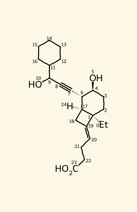 CC[C@@]12CC[C@H](O)[C@@H](C#CC(O)C3CCCCC3)[C@@H]1CC2=CCCC(=O)O